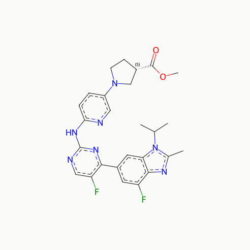 COC(=O)[C@H]1CCN(c2ccc(Nc3ncc(F)c(-c4cc(F)c5nc(C)n(C(C)C)c5c4)n3)nc2)C1